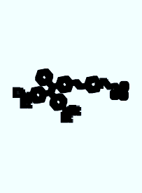 CCN(CC)c1ccc(C(=C(c2ccccc2)c2ccc(C=Cc3cc[n+](CCCS(=O)(=O)[O-])cc3)cc2)c2ccc(N(CC)CC)cc2)cc1